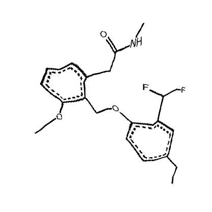 CCc1ccc(OCc2c(CC(=O)NC)cccc2OC)c(C(F)F)c1